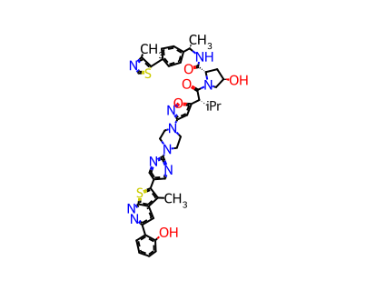 Cc1ncsc1-c1ccc([C@H](C)NC(=O)[C@@H]2C[C@@H](O)CN2C(=O)[C@@H](c2cc(N3CCN(c4ncc(-c5sc6nnc(-c7ccccc7O)cc6c5C)cn4)CC3)no2)C(C)C)cc1